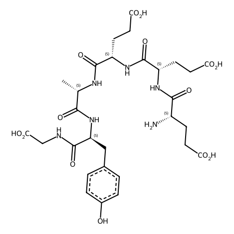 C[C@H](NC(=O)[C@H](CCC(=O)O)NC(=O)[C@H](CCC(=O)O)NC(=O)[C@@H](N)CCC(=O)O)C(=O)N[C@@H](Cc1ccc(O)cc1)C(=O)NCC(=O)O